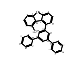 Clc1cccc2oc3cccc(-c4cc(-c5ccccc5)cc(-c5ccccc5)c4)c3c12